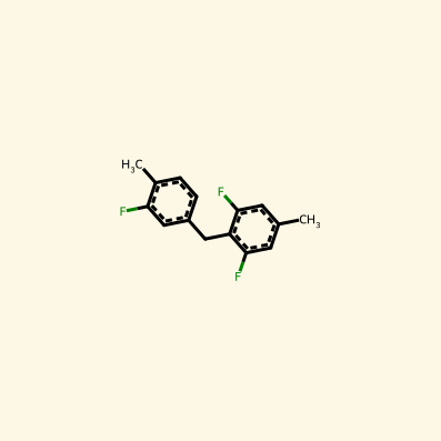 Cc1cc(F)c(Cc2ccc(C)c(F)c2)c(F)c1